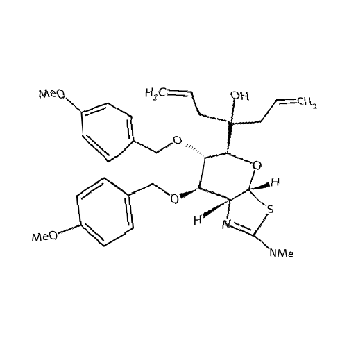 C=CCC(O)(CC=C)[C@H]1O[C@@H]2SC(NC)=N[C@@H]2[C@@H](OCc2ccc(OC)cc2)[C@@H]1OCc1ccc(OC)cc1